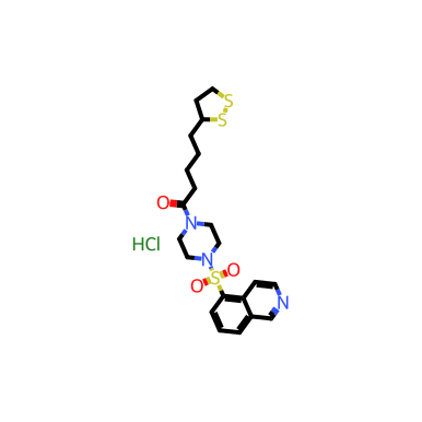 Cl.O=C(CCCCC1CCSS1)N1CCN(S(=O)(=O)c2cccc3cnccc23)CC1